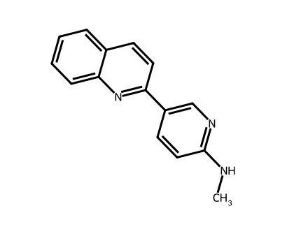 CNc1ccc(-c2ccc3ccccc3n2)cn1